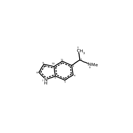 CNC(C)c1ccc2[nH]ccc2c1